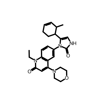 CCn1c(=O)cc(N2CCOCC2)c2cc(-n3c(C4CCC=CC4C)c[nH]c3=O)ccc21